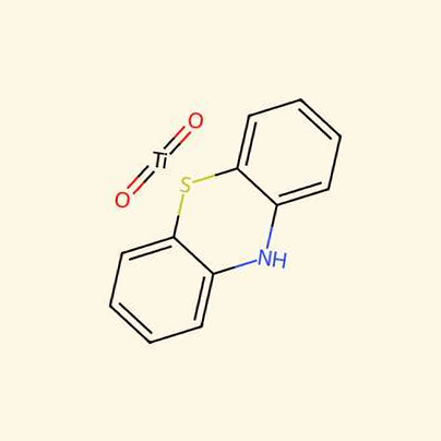 [O]=[Ti]=[O].c1ccc2c(c1)Nc1ccccc1S2